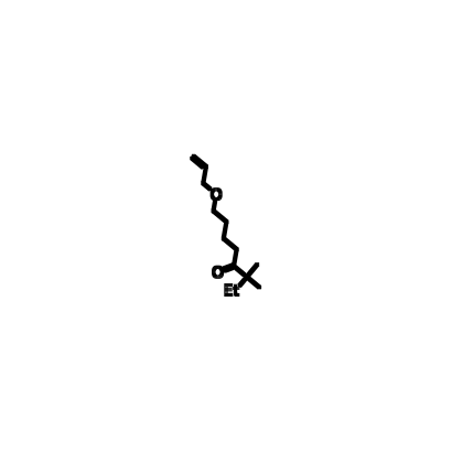 C=CCOCCCCC(=O)C(C)(C)CC